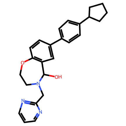 OC1c2cc(-c3ccc(C4CCCC4)cc3)ccc2OCCN1Cc1ncccn1